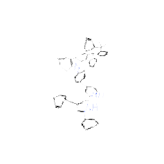 CC1(C)c2ccccc2C2(C3=C(c4ccccc42)C2C(C=C3)C3=C(CCC=C3)N2c2ccc(C3=CC(C4C=C(c5ccccc5)C=C(c5ccccc5)N4)NC=C3)cc2)c2ccccc21